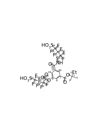 CCC(C)(C)OC(=O)c1cc(OS(=O)(=O)C(F)(F)C(F)(F)C(F)(F)S(=O)(=O)O)cc(C(=O)NSC(F)(F)C(F)(F)C(F)(F)S(=O)(=O)O)c1